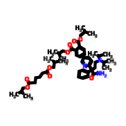 CC(C)COC(=O)CCCCC(=O)OCC(C)C.CC(C)COC(=O)c1ccccc1C(=O)OCC(C)C.CC(C)N(CCC(C(N)=O)(c1ccccc1)c1ccccn1)C(C)C